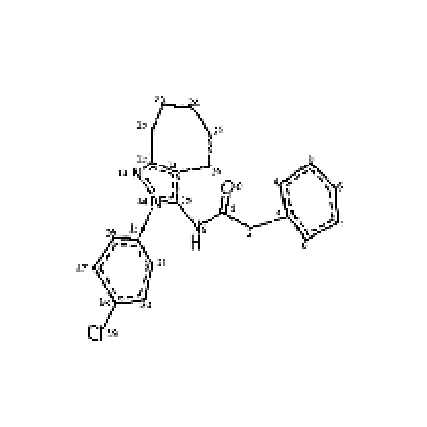 O=C(Cc1ccccc1)Nc1c2c(nn1-c1ccc(Cl)cc1)CCCCC2